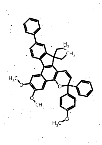 CCC1(CC)c2cc(-c3ccccc3)ccc2-c2c1c1c(c3cc(OC)c(OC)cc23)OC(c2ccccc2)(c2ccc(OC)cc2)C=C1